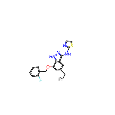 CC(C)Cc1cc(OCc2ccccc2F)c2[nH]nc(Nc3nccs3)c2c1